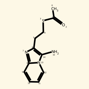 CC(=O)SCCc1nc2ccccn2c1N